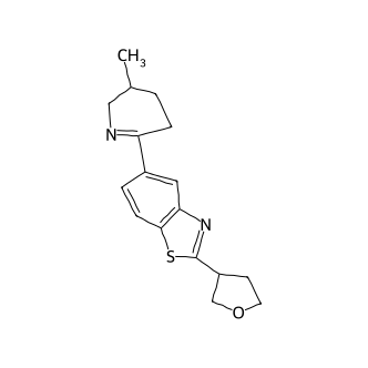 CC1CCC(c2ccc3sc(C4CCOC4)nc3c2)=NC1